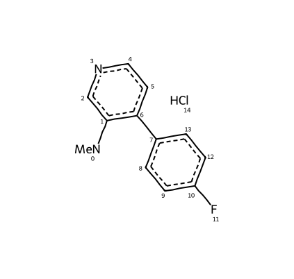 CNc1cnccc1-c1ccc(F)cc1.Cl